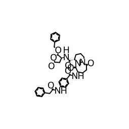 O=C(Cc1ccccc1)Nc1ccc(C(=O)N[C@H]2CCC(=O)N3CCC[C@@H](C(=O)N[C@H]4CC(=O)OC4OCc4ccccc4)N3C2=O)cc1